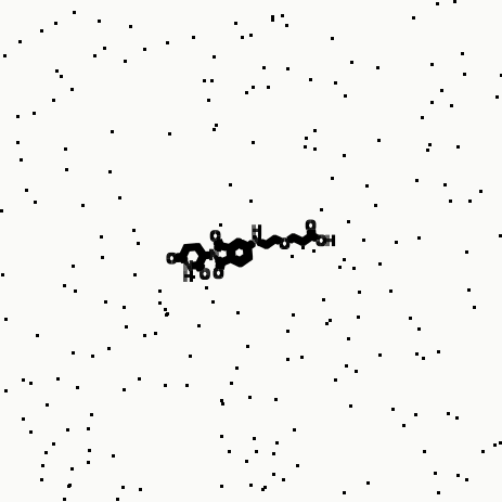 O=C(O)CCOCCNc1ccc2c(c1)C(=O)N(C1CCC(=O)NC1=O)C2=O